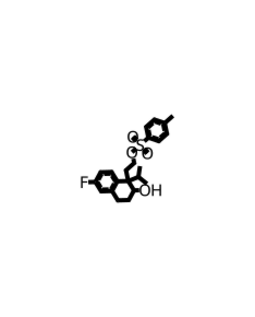 Cc1ccc(S(=O)(=O)OCCC2(C(C)C)c3ccc(F)cc3CCC2O)cc1